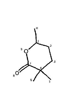 CC1CCC(C)(C)C(=O)O1